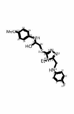 CCn1c(CNc2ccc(F)cc2)nnc1SCC(O)Nc1ccc(OC)cc1